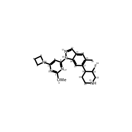 COc1nc(N2CCC2)cc(-n2ncc3cc(C)c(C4CCNCC4F)cc32)n1